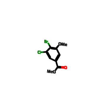 COC(=O)c1cc(Cl)c(Br)c(OC)c1